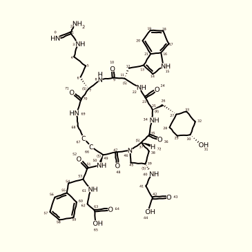 N=C(N)NCCC[C@@H]1NC(=O)[C@H](Cc2c[nH]c3ccccc23)NC(=O)[C@@H](C[C@H]2CC[C@@H](O)CC2)NC(=O)[C@@H]2C[C@H](NCC(=O)O)CN2C(=O)[C@@H](NC(=O)C(Cc2ccccc2)NCC(=O)O)CCCNC1=O